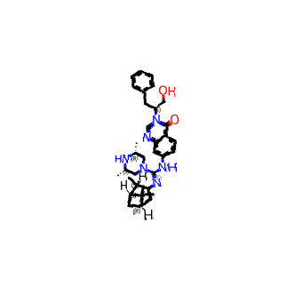 C[C@@H]1CN(/C(=N\C2C[C@H]3C[C@@H]([C@@H]2C)C3(C)C)Nc2ccc3c(=O)n([C@H](CO)Cc4ccccc4)cnc3c2)C[C@H](C)N1